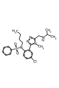 CCCCN(c1ccc(Cl)cc1-c1nnc(CNC(C)C)n1C)S(=O)(=O)c1ccccc1